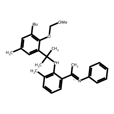 CCC(C)c1cc(C)cc(C(C)(C)Pc2c(C)cccc2/C(C)=N/c2ccccc2)c1OCOC